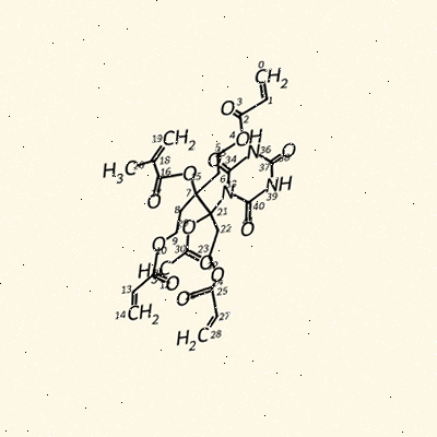 C=CC(=O)OCCC(CCOC(=O)C=C)(OC(=O)C(=C)C)C(CCOC(=O)C=C)(OC(C)=O)n1c(=O)[nH]c(=O)[nH]c1=O